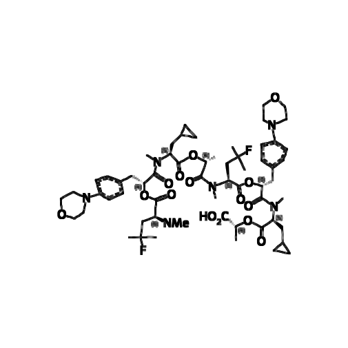 CN[C@@H](CC(C)(C)F)C(=O)O[C@H](Cc1ccc(N2CCOCC2)cc1)C(=O)N(C)[C@@H](CC1CC1)C(=O)O[C@H](C)C(=O)N(C)[C@@H](CC(C)(C)F)C(=O)O[C@H](Cc1ccc(N2CCOCC2)cc1)C(=O)N(C)[C@@H](CC1CC1)C(=O)O[C@H](C)C(=O)O